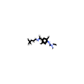 CCN(C)C=Nc1cc(C)c(C(C)=NCCCC(C)(C)C)cc1C